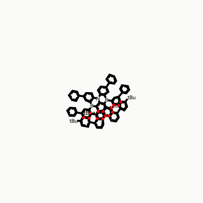 CC(C)(C)c1ccc(-c2cccc(-c3ccc(C(C)(C)C)cc3)c2N2c3ccc(-c4ccccc4)cc3B3c4cc(-c5ccccc5)ccc4N4c5ccc(-c6ccccc6)cc5B5c6cc(-c7ccccc7)ccc6N(c6c(-c7ccc(C(C)(C)C)cc7)cccc6-c6ccc(C(C)(C)C)cc6)c6cc2c3c4c65)cc1